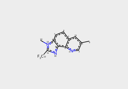 Cc1cnc2c(ccc3c2nc(C(F)(F)F)n3C)c1